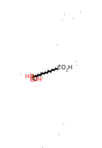 O=C(O)CCCCCCCCCCCCCCP(=O)(O)O